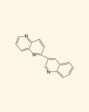 [c]1nc2ccccc2cc1-c1ccc2ncccc2n1